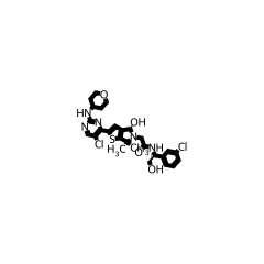 CC1(C)c2sc(-c3nc(NC4CCOCC4)ncc3Cl)cc2[C@H](O)N1CC(=O)N[C@H](CO)c1cccc(Cl)c1